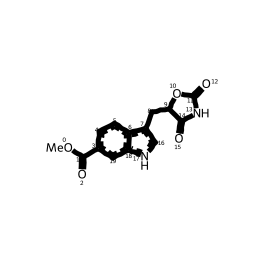 COC(=O)c1ccc2c(CC3OC(=O)NC3=O)c[nH]c2c1